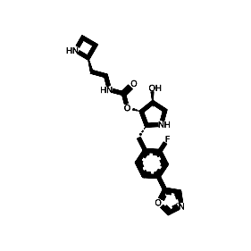 O=C(NCC[C@@H]1CCN1)O[C@@H]1[C@@H](O)CN[C@@H]1Cc1ccc(-c2cnco2)cc1F